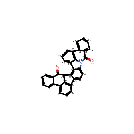 O=C1c2ccccc2-c2cccc3c2C1c1c-3ccc2c1c1cccc3c4ccccc4c(=O)n2c31